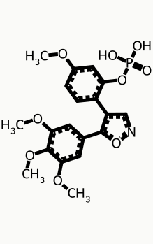 COc1ccc(-c2cnoc2-c2cc(OC)c(OC)c(OC)c2)c(OP(=O)(O)O)c1